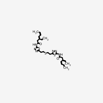 C=C/C=C\C(=C/C)CC(=O)Nc1nnc(CCSCCc2nnc(NC(=O)C/C(C=C)=C/C=C\C)s2)s1